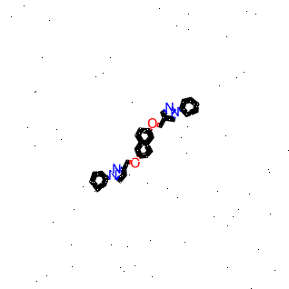 c1ccc(-n2cc(COc3ccc4cc(OCc5ccn(-c6ccccc6)n5)ccc4c3)cn2)cc1